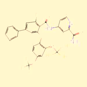 NC(=O)c1cc(NC(=O)c2c(F)cc(-c3ccccc3)cc2Oc2ccc(OC(F)(F)F)cc2OC(S)(S)S)ccn1